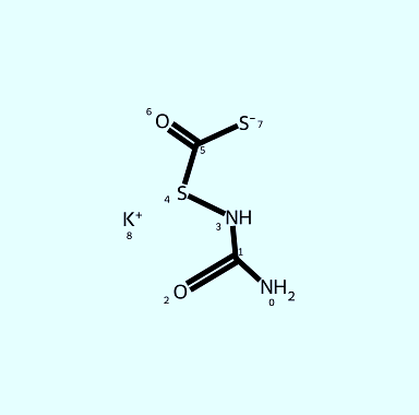 NC(=O)NSC(=O)[S-].[K+]